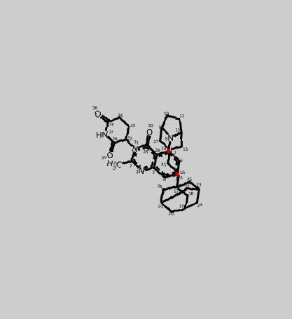 Cc1nc2cccc(N3C4CCC3CN(CCC35CC6CC(CC(C6)C3)C5)C4)c2c(=O)n1C1CCC(=O)NC1=O